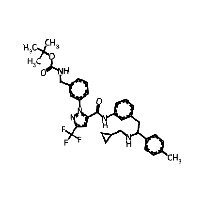 Cc1ccc(C(Cc2cccc(NC(=O)c3cc(C(F)(F)F)nn3-c3cccc(CNC(=O)OC(C)(C)C)c3)c2)NCC2CC2)cc1